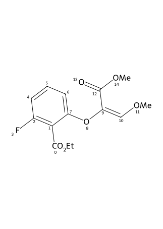 CCOC(=O)c1c(F)cccc1OC(=COC)C(=O)OC